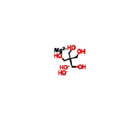 OCC(CO)(CO)CO.[Mg+2].[OH-].[OH-]